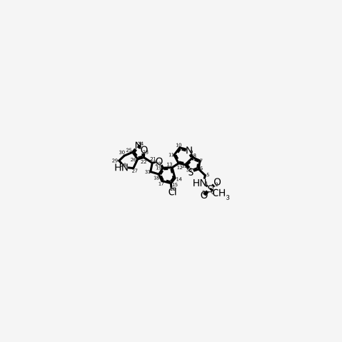 CS(=O)(=O)NCc1cc2nccc(-c3cc(Cl)cc4c3OC(c3onc5c3CNCC5)C4)c2s1